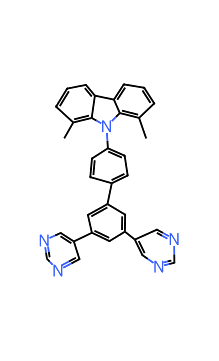 Cc1cccc2c3cccc(C)c3n(-c3ccc(-c4cc(-c5cncnc5)cc(-c5cncnc5)c4)cc3)c12